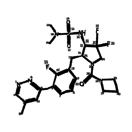 Cc1cnnc(-c2cccc(C[C@H]3[C@@H](NS(=O)(=O)N(C)C)C(F)(F)CN3C(=O)N3CCC3)c2F)c1